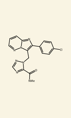 CNC(=O)c1ncnn1Cc1c(-c2ccc(Cl)cc2)nc2cccnn12